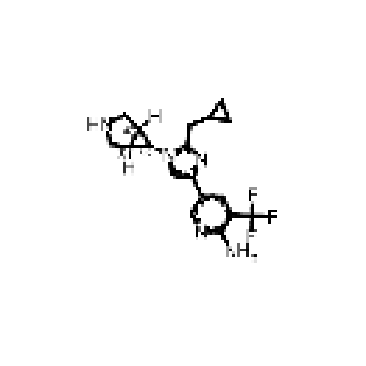 Nc1ncc(-c2cn([C@H]3[C@@H]4CNC[C@@H]43)c(CC3CC3)n2)cc1C(F)(F)F